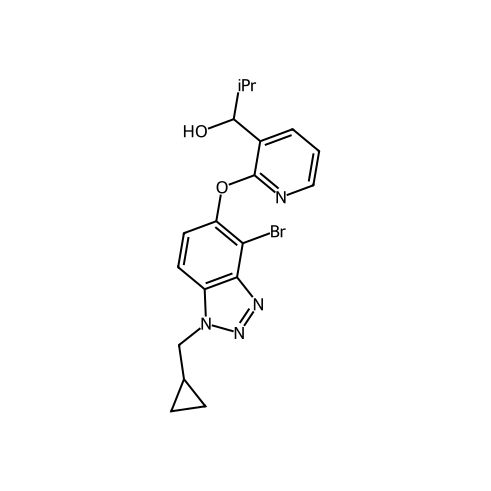 CC(C)C(O)c1cccnc1Oc1ccc2c(nnn2CC2CC2)c1Br